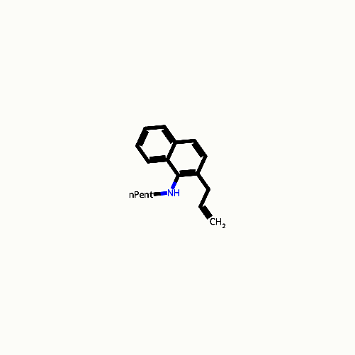 C=CCc1ccc2ccccc2c1NCCCCC